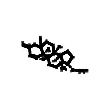 CCOC(=O)O[C@H]1CC[C@H]2[C@@H]3CC[C@H]4CC(=O)C=C[C@@H]4[C@H]3CC[C@]12C